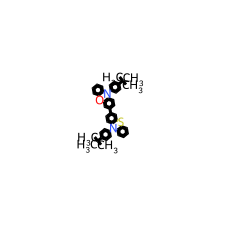 CC(C)(C)c1ccc(N2c3ccccc3Oc3cc(-c4ccc5c(c4)Sc4ccccc4N5c4ccc(C(C)(C)C)cc4)ccc32)cc1